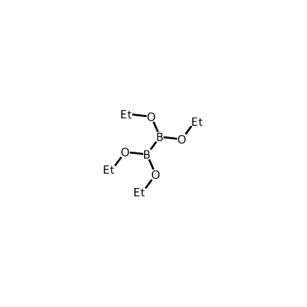 CCOB(OCC)B(OCC)OCC